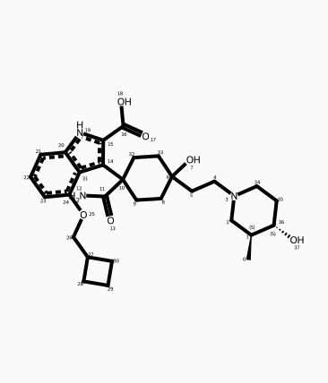 C[C@H]1CN(CCC2(O)CCC(C(N)=O)(c3c(C(=O)O)[nH]c4cccc(OCC5CCC5)c34)CC2)CC[C@@H]1O